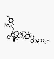 CC(C)C1=C2[C@H]3CCC4[C@@]5(C)CC[C@H](OC(=O)CC(C)(C)C(=O)O)C(C)(C)C5CC[C@@]4(C)[C@]3(C)CC[C@@]2(CCN(CCN(C)C)Cc2ccc(F)cc2)CC1=O